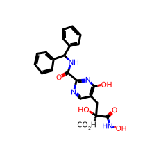 O=C(NC(c1ccccc1)c1ccccc1)c1ncc(CC(O)(C(=O)O)C(=O)NO)c(O)n1